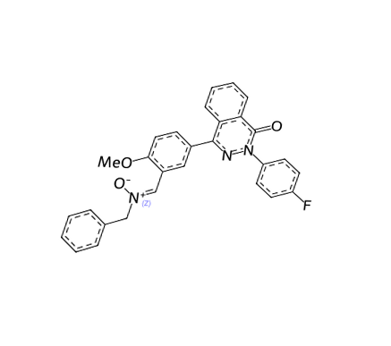 COc1ccc(-c2nn(-c3ccc(F)cc3)c(=O)c3ccccc23)cc1/C=[N+](\[O-])Cc1ccccc1